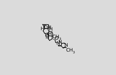 Cc1cc2cn(CC(=O)[C@H]3CC[C@H]4[C@@H]5CC[C@@H]6C7C[C@@]7(O)CC[C@@H]6[C@H]5CC[C@]34C)nc2cn1